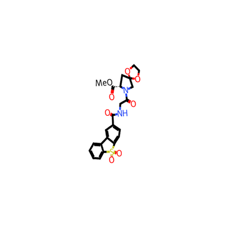 COC(=O)[C@@H]1CC2(CN1C(=O)CNC(=O)c1ccc3c(c1)-c1ccccc1S3(=O)=O)OCCO2